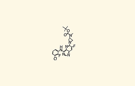 CN(C(=O)OC(C)(C)C)C1CN(c2nc3c(Nc4cccc(Cl)c4F)ncnc3cc2F)C1